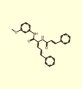 COc1cccc(NC(=O)/C(=C/C=C/c2ccccc2)NC(=O)C=Cc2ccccc2)c1